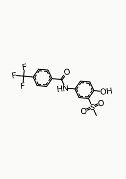 CS(=O)(=O)c1cc(NC(=O)c2ccc(C(F)(F)F)cc2)ccc1O